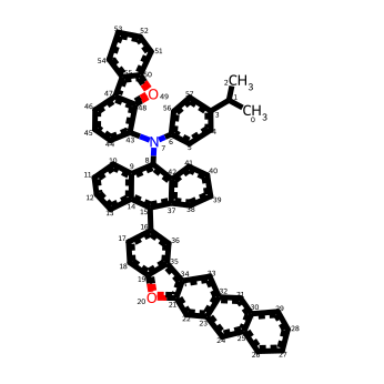 CC(C)c1ccc(N(c2c3ccccc3c(-c3ccc4oc5cc6cc7ccccc7cc6cc5c4c3)c3ccccc23)c2cccc3c2oc2ccccc23)cc1